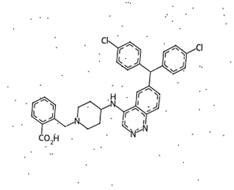 O=C(O)c1ccccc1CN1CCC(Nc2cnnc3ccc(C(c4ccc(Cl)cc4)c4ccc(Cl)cc4)cc23)CC1